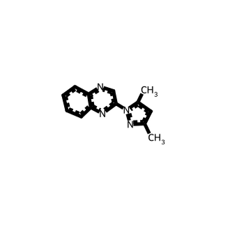 Cc1cc(C)n(-c2cnc3ccccc3n2)n1